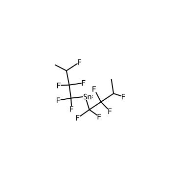 CC(F)C(F)(F)[C](F)(F)[Sn][C](F)(F)C(F)(F)C(C)F